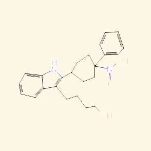 CN(C)C1(c2ccccc2)CCC(c2[nH]c3ccccc3c2CCCCO)CC1